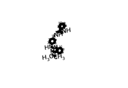 CN(C)c1nc(N[C@H]2CC[C@@H](CNCc3c[nH]c4ccccc34)CC2)nc2c1CCCC2